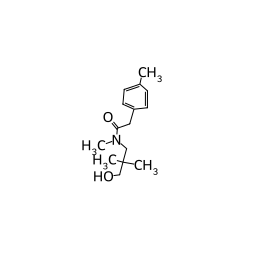 Cc1ccc(CC(=O)N(C)CC(C)(C)CO)cc1